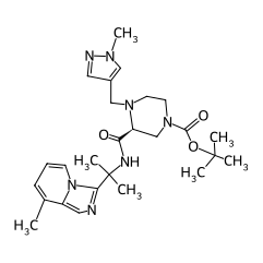 Cc1cccn2c(C(C)(C)NC(=O)[C@@H]3CN(C(=O)OC(C)(C)C)CCN3Cc3cnn(C)c3)ncc12